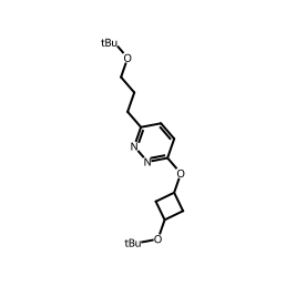 CC(C)(C)OCCCc1ccc(OC2CC(OC(C)(C)C)C2)nn1